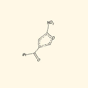 CC(C)C(=O)c1coc([N+](=O)[O-])c1